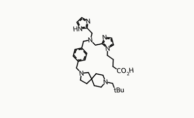 CC(C)(C)CN1CCC2(CC1)CCN(Cc1ccc(CN(Cc3ncc[nH]3)Cc3nccn3CCCC(=O)O)cc1)C2